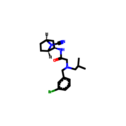 CC(C)CN(CC(=O)N[C@@H]1C[C@@H]2CC[C@H]1N2C#N)Cc1cccc(Br)c1